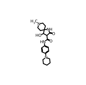 CN1CCC2(CC1)NC(=O)C(C(=O)Nc1ccc(N3CCCCC3)cc1)C2O